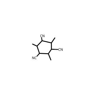 CC1C(C#N)C(C)C(C#N)C(C)C1C#N